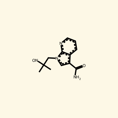 CC(C)(Cn1cc(C(N)=O)c2cccnc21)N=O